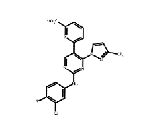 O=C(O)c1cccc(-c2cnc(Nc3ccc(F)c(Cl)c3)nc2-n2ccc(C(F)(F)F)n2)n1